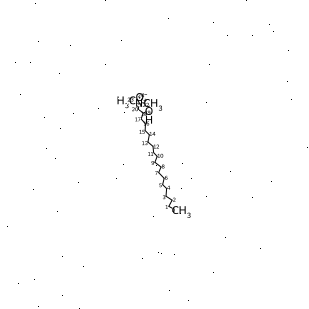 CCCCCCCCCCCCCCCCCCC(O)C[N+](C)(C)[O-]